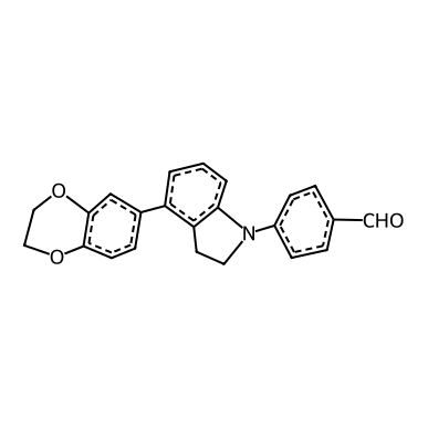 O=Cc1ccc(N2CCc3c(-c4ccc5c(c4)OCCO5)cccc32)cc1